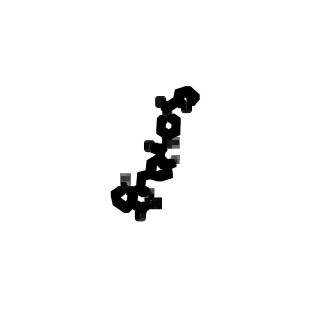 O=C(NC1CCN(C(=O)c2ccco2)CC1)c1cc(Cc2n[nH]c(=O)c3c2NCCC3)ccc1F